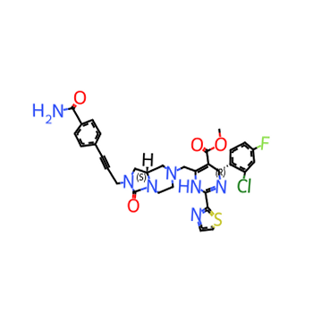 COC(=O)C1=C(CN2CCN3C(=O)N(CC#Cc4ccc(C(N)=O)cc4)C[C@@H]3C2)NC(c2nccs2)=N[C@H]1c1ccc(F)cc1Cl